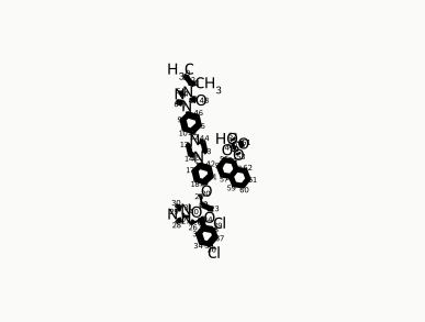 CCC(C)n1ncn(-c2ccc(N3CCN(c4ccc(OC[C@H]5CO[C@](Cn6cncn6)(c6ccc(Cl)cc6Cl)O5)cc4)CC3)cc2)c1=O.O=S(=O)(O)OC1CCCC2CCCCC21